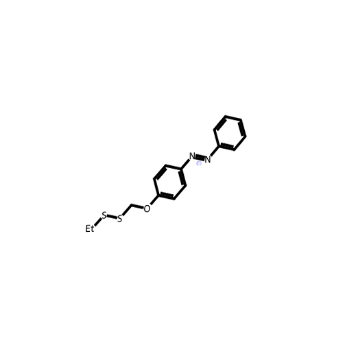 CCSSCOc1ccc(/N=N/c2ccccc2)cc1